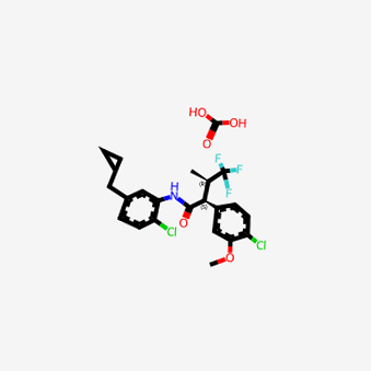 COc1cc([C@@H](C(=O)Nc2cc(CC3CC3)ccc2Cl)[C@@H](C)C(F)(F)F)ccc1Cl.O=C(O)O